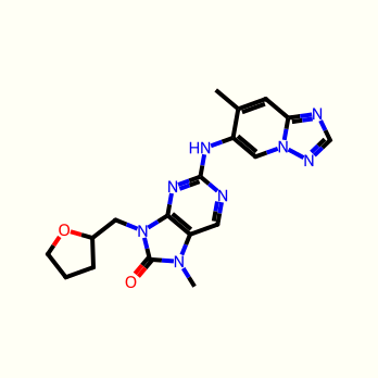 Cc1cc2ncnn2cc1Nc1ncc2c(n1)n(CC1CCCO1)c(=O)n2C